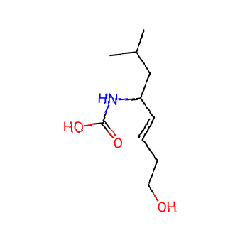 CC(C)CC(C=CCCO)NC(=O)O